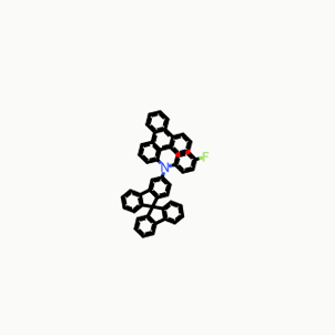 Fc1ccc(N(c2ccc3c(c2)-c2ccccc2C32c3ccccc3-c3ccccc32)c2cccc3c4ccccc4c4ccccc4c23)cc1